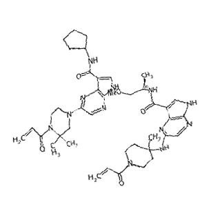 C=CC(=O)N1CCC(C)(Nc2cnc3[nH]cc(C(=O)N[C@H](C)COC)c3n2)CC1.C=CC(=O)N1CCN(c2cnc3[nH]cc(C(=O)NC4CCCC4)c3n2)CC1(C)C